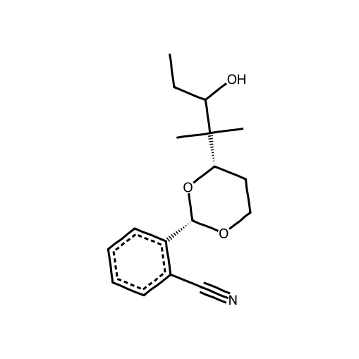 CCC(O)C(C)(C)[C@@H]1CCO[C@H](c2ccccc2C#N)O1